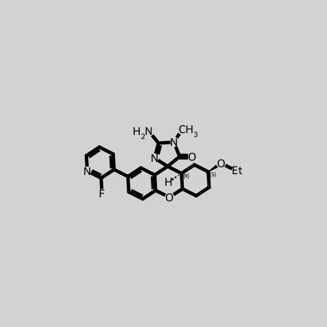 CCO[C@H]1CCC2Oc3ccc(-c4cccnc4F)cc3C3(N=C(N)N(C)C3=O)[C@H]2C1